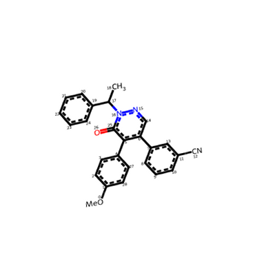 COc1ccc(-c2c(-c3cccc(C#N)c3)cnn(C(C)c3ccccc3)c2=O)cc1